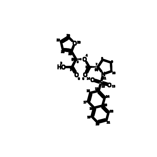 O=C(O)[C@@H](OC(=O)[C@@H]1CCCN1S(=O)(=O)c1ccc2ccccc2c1)c1ccco1